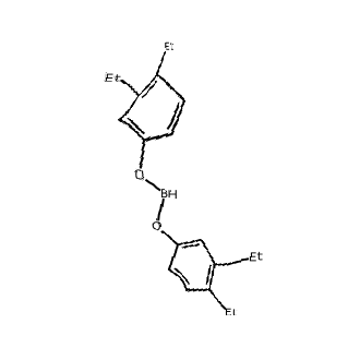 CCc1ccc(OBOc2ccc(CC)c(CC)c2)cc1CC